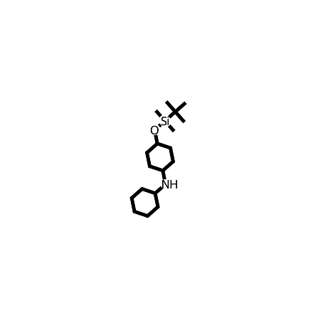 CC(C)(C)[Si](C)(C)OC1CCC(NC2CCCCC2)CC1